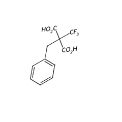 O=C(O)C(Cc1ccccc1)(C(=O)O)C(F)(F)F